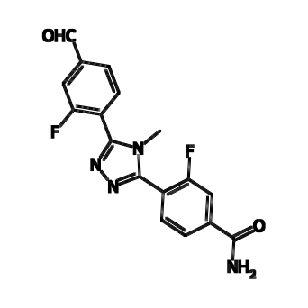 Cn1c(-c2ccc(C=O)cc2F)nnc1-c1ccc(C(N)=O)cc1F